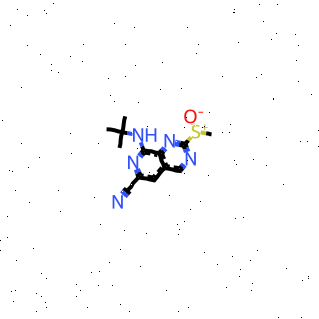 C[S+]([O-])c1ncc2cc(C#N)nc(NC(C)(C)C)c2n1